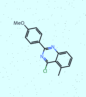 COc1ccc(-c2nc(Cl)c3c(C)cccc3n2)cc1